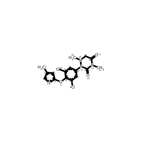 Cc1csc(Oc2c(Cl)cc(N3C(=O)N(C)C(=O)CN3C)cc2Cl)c1